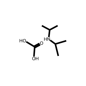 CC(C)NC(C)C.O=C(O)O